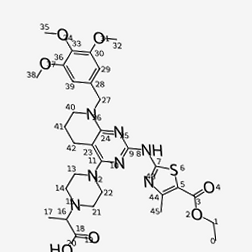 CCOC(=O)c1sc(Nc2nc(N3CCN(C(C)C(=O)O)CC3)c3c(n2)N(Cc2cc(OC)c(OC)c(OC)c2)CCC3)nc1C